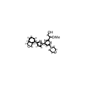 CO[C@H](CO)c1nc(N2CCOCC2)cc(-n2ccc(-c3cccc4c3COC4)n2)n1